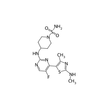 CNc1nc(C)c(-c2nc(NC3CCN(S(N)(=O)=O)CC3)ncc2F)s1